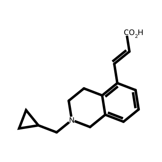 O=C(O)C=Cc1cccc2c1CCN(CC1CC1)C2